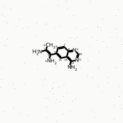 C/C(N)=C(/N)c1ccc2ncnc(N)c2c1